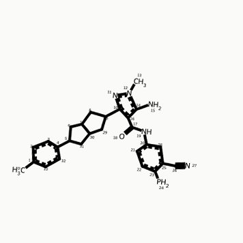 Cc1ccc(C2CC3CC(c4nn(C)c(N)c4C(=O)Nc4ccc(P)c(C#N)c4)CC3C2)cc1